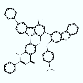 C=C1C=C(c2ccccc2)N(C)c2cc3c(cc21)Bc1c(-c2cc4c(cc2Nc2ccc(N(C)C)cc2)oc2ccccc24)cc(C)c2c4cc(-c5ccccc5)ccc4n-3c12